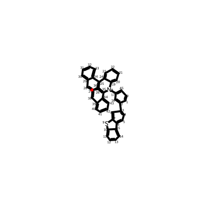 c1cc(-c2ccc3c(c2)sc2ccccc23)cc(N(c2ccccc2-c2cccc3ccccc23)c2cccc3ccccc23)c1